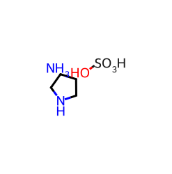 C1CCNC1.N.O=S(=O)(O)O